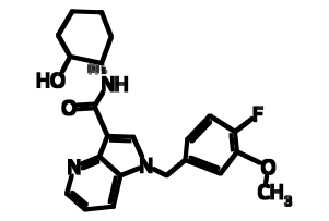 COc1cc(Cn2cc(C(=O)N[C@H]3CCCCC3O)c3ncccc32)ccc1F